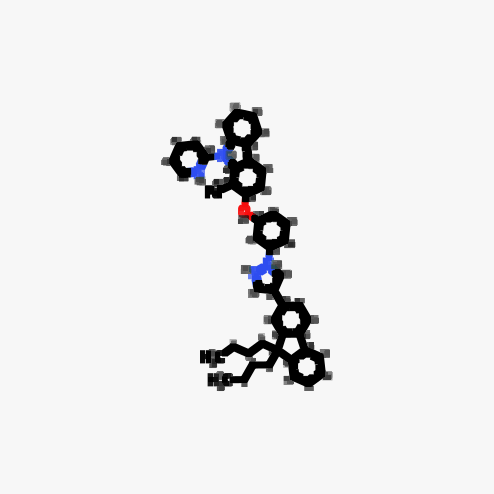 CCCCC1(CCCC)c2ccccc2-c2ccc(-c3cnn(-c4cccc(Oc5ccc6c7ccccc7n(-c7ccccn7)c6[c]5[Pd])c4)c3)cc21